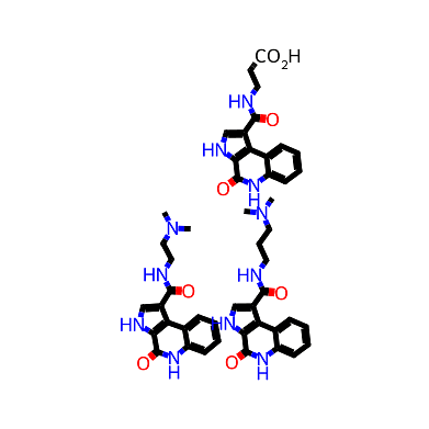 CN(C)CCCNC(=O)c1c[nH]c2c(=O)[nH]c3ccccc3c12.CN(C)CCNC(=O)c1c[nH]c2c(=O)[nH]c3ccccc3c12.O=C(O)CCNC(=O)c1c[nH]c2c(=O)[nH]c3ccccc3c12